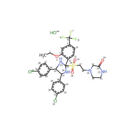 CCOc1cc(C(F)(F)F)ccc1C1(S(=O)(=O)CCN2CCNC(=O)C2)NC(c2ccc(Cl)cc2)C(c2ccc(Cl)cc2)N1.Cl